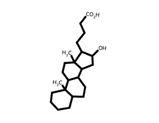 CC12CCCCC1CCC1C2CCC2(C)C(CCCC(=O)O)C(O)CC12